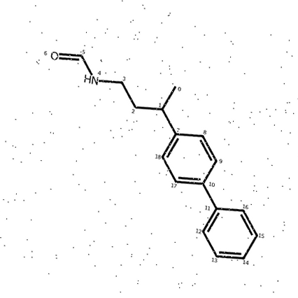 CC(CCNC=O)c1ccc(-c2ccccc2)cc1